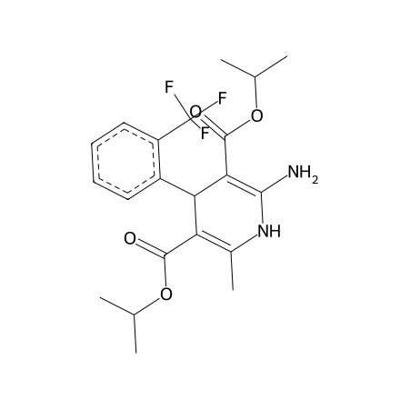 CC1=C(C(=O)OC(C)C)C(c2ccccc2C(F)(F)F)C(C(=O)OC(C)C)=C(N)N1